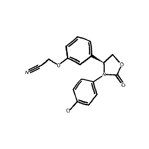 N#CCOc1cccc([C@H]2COC(=O)N2c2ccc(Cl)cc2)c1